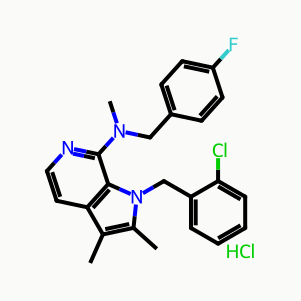 Cc1c(C)n(Cc2ccccc2Cl)c2c(N(C)Cc3ccc(F)cc3)nccc12.Cl